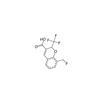 O=C(O)C1=Cc2cccc(CF)c2OC1C(F)(F)F